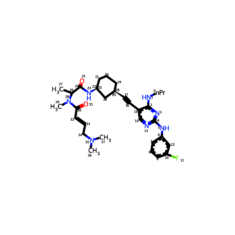 CCCNc1nc(Nc2cccc(F)c2)ncc1C#C[C@@H]1CCC[C@H](NC(=O)C(C)N(C)C(=O)C=CCN(C)C)C1